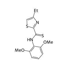 CCc1csc(C(=S)Nc2c(OC)cccc2OC)n1